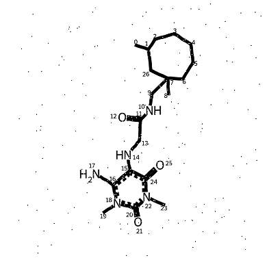 CC1CCCCCC(C)(CNC(=O)CNc2c(N)n(C)c(=O)n(C)c2=O)C1